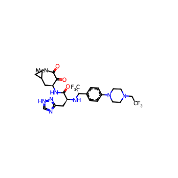 CNC(=O)C(=O)[C@H](CC1CC1)NC(=O)[C@H](Cc1nc[nH]n1)N[C@@H](c1ccc(N2CCN(CC(F)(F)F)CC2)cc1)C(F)(F)F